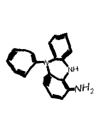 Nc1cccc2c1Nc1ccccc1N2c1ccccc1